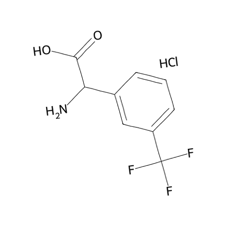 Cl.NC(C(=O)O)c1cccc(C(F)(F)F)c1